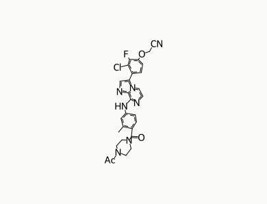 CC(=O)N1CCN(C(=O)c2ccc(Nc3nccn4c(-c5ccc(OCC#N)c(F)c5Cl)cnc34)cc2C)CC1